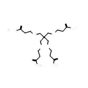 CNC(=O)CCOCC(COCCC(=O)NC)(COCCC(=O)NC)COCCC(=O)NC